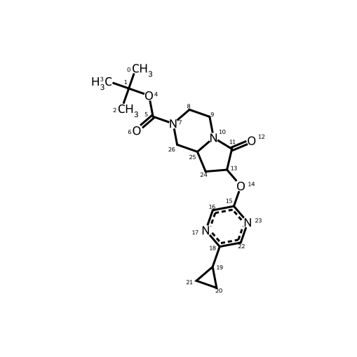 CC(C)(C)OC(=O)N1CCN2C(=O)C(Oc3cnc(C4CC4)cn3)CC2C1